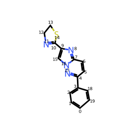 c1ccc(-c2ccc3nc(C4=NCCS4)cn3n2)cc1